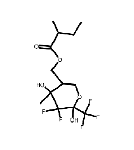 CCC(C)C(=O)OCC1COC(O)(C(F)(F)F)C(F)(F)C1(C)O